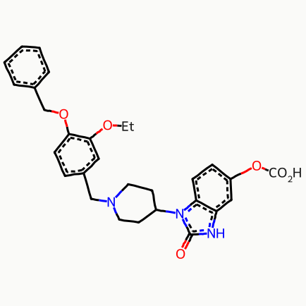 CCOc1cc(CN2CCC(n3c(=O)[nH]c4cc(OC(=O)O)ccc43)CC2)ccc1OCc1ccccc1